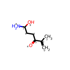 C=C(C)C(=O)CCC(N)O